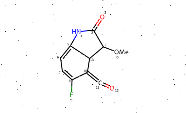 COC1C(=O)NC2=CC=C(F)C(=C=O)C21